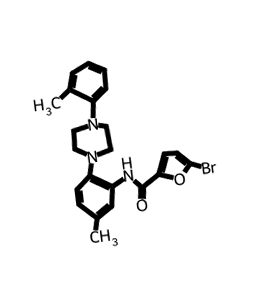 Cc1ccc(N2CCN(c3ccccc3C)CC2)c(NC(=O)c2ccc(Br)o2)c1